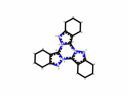 C1CCc2c(nn3c2n2nc4c(c2n2nc5c(c32)CCCC5)CCCC4)C1